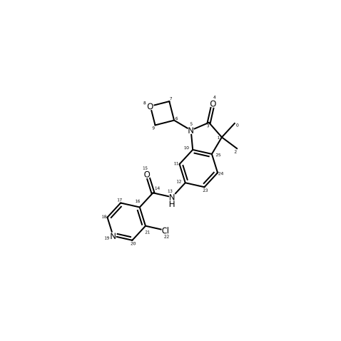 CC1(C)C(=O)N(C2COC2)c2cc(NC(=O)c3ccncc3Cl)ccc21